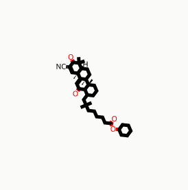 CC(C)(CCCCCC(=O)OC1CCCCC1)CC1CCC[C@]2(C)C1C(=O)C=C1[C@@]3(C)C=C(C#N)C(=O)C(C)(C)[C@@H]3CC[C@]12C